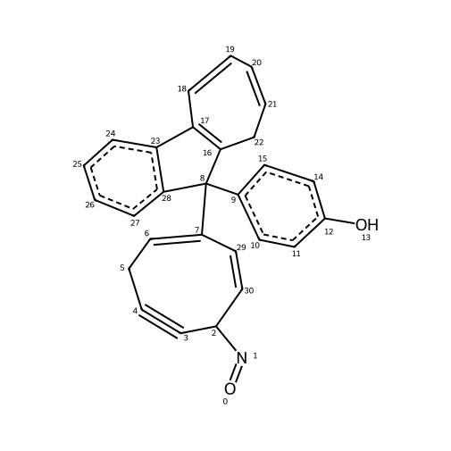 O=NC1C#CC/C=C(C2(c3ccc(O)cc3)C3=C(C=CC=CC3)c3ccccc32)\C=C/1